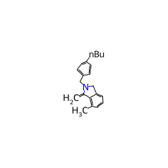 C=C1c2c(C)cccc2CN1Cc1ccc(CCCC)cc1